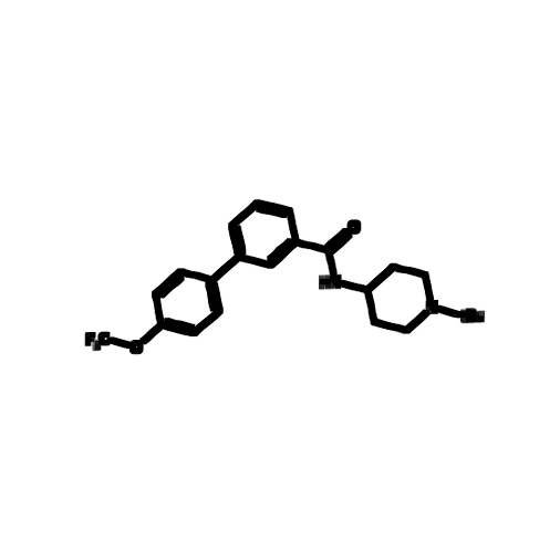 CC(C)(C)N1CCC(NC(=O)c2cccc(-c3ccc(OC(F)(F)F)cc3)c2)CC1